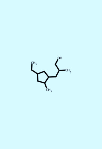 CCC1CC(C)C(CC(C)CO)C1